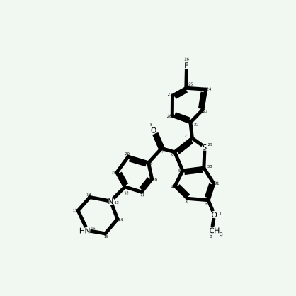 COc1ccc2c(C(=O)c3ccc(N4CCNCC4)cc3)c(-c3ccc(F)cc3)sc2c1